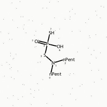 CCCCCN(CCCCC)SP(=O)(O)S